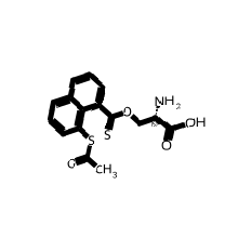 CC(=O)Sc1cccc2cccc(C(=S)OC[C@H](N)C(=O)O)c12